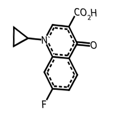 O=C(O)c1cn(C2CC2)c2cc(F)ccc2c1=O